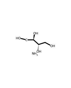 N.OC[C@@H](O)[C@@H](O)CO